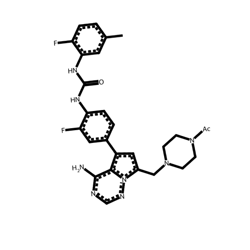 CC(=O)N1CCN(Cc2cc(-c3ccc(NC(=O)Nc4cc(C)ccc4F)c(F)c3)c3c(N)ncnn23)CC1